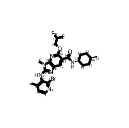 Cc1ccnc(Br)c1Nc1nc2cc(C(=O)N[C@H]3CC[C@H](C)CC3)c(OCC(F)F)nc2n1C